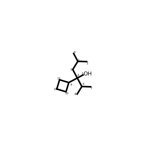 CC(C)CC(O)(C(C)C)C1CCC1